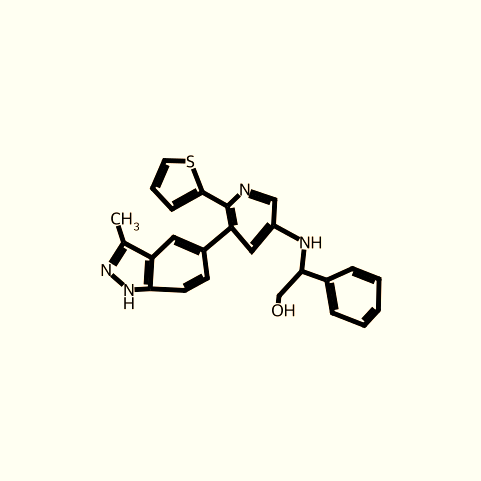 Cc1n[nH]c2ccc(-c3cc(NC(CO)c4ccccc4)cnc3-c3cccs3)cc12